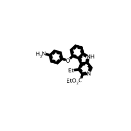 CCOC(=O)c1ncc2[nH]c3cccc(Oc4ccc(N)cc4)c3c2c1CC